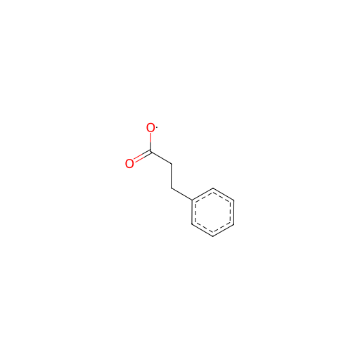 [O]C(=O)CCc1ccccc1